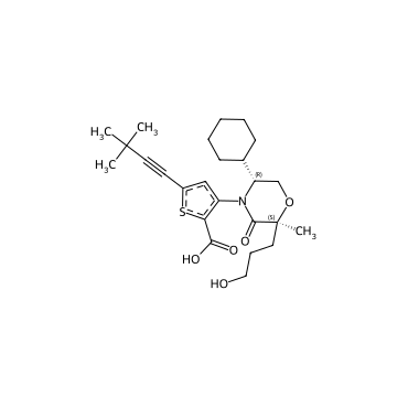 CC(C)(C)C#Cc1cc(N2C(=O)[C@](C)(CCCO)OC[C@H]2C2CCCCC2)c(C(=O)O)s1